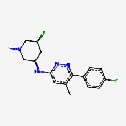 Cc1cc(N[C@@H]2C[C@H](F)CN(C)C2)nnc1-c1ccc(F)cc1